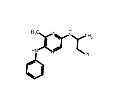 Cc1nc(NC(C)CC(C)C)cnc1Nc1ccccc1